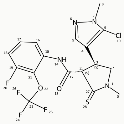 CN1C[C@H](c2cnn(C)c2Cl)[C@@H](C(=O)Nc2cccc(F)c2OC(F)(F)F)C1=S